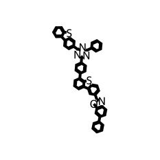 c1ccc(-c2ccc3nc(-c4ccc5sc6c(-c7ccc(-c8nc(-c9ccccc9)nc(-c9ccc%10c(c9)sc9ccccc9%10)n8)cc7)cccc6c5c4)oc3c2)cc1